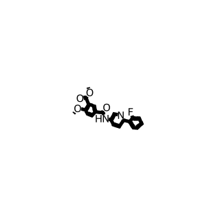 COC(=O)c1cc(C(=O)Nc2ccc(-c3ccccc3F)nc2)ccc1OC